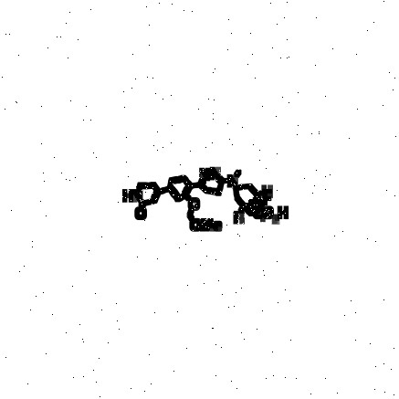 COCOc1cc(-c2cc[nH]c(=O)c2)ccc1-c1ccc(N(C)[C@@H]2C[C@H]3CC(F)(F)[C@@H](C2)N3C(=O)O)nn1